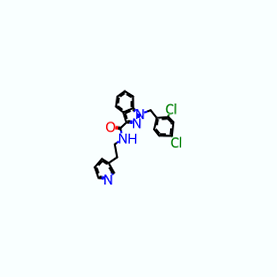 O=C(NCCc1cccnc1)c1nn(Cc2ccc(Cl)cc2Cl)c2ccccc12